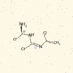 C=C(Cl)/N=C(/Cl)N[C@H](N)Cl